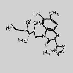 Cc1cc2nc(-c3nnnn3C)c(=O)n(C[C@H](O)[C@H](O)[C@H](O)CN)c2cc1C